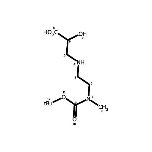 CN(CCNCC(O)C(=O)O)C(=O)OC(C)(C)C